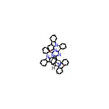 C[C@@H]1C[C@@H]2C[C@H](C)CC(c3nc(-c4ccccc4-n4c5ccccc5c5ccccc54)nc(-c4ccccc4-n4c5ccccc5c5cc(-n6c7ccccc7c7ccccc76)ccc54)n3)(C1)C2